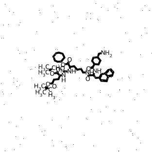 CC(C)(C)OC(=O)CCC(NC(=O)NC(CCCCNC(=O)C(Cc1ccc2ccccc2c1)NC(=O)C1CCC(CN)CC1)C(=O)OC1CCCCCCC1)C(=O)OC(C)(C)C